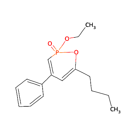 CCCCC1=CC(c2ccccc2)=CP(=O)(OCC)O1